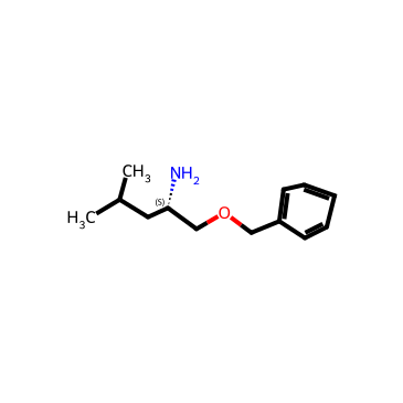 CC(C)C[C@H](N)COCc1ccccc1